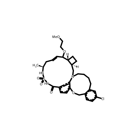 COCCOC1/C=C/C[C@H](C)NS(=O)(=O)NC(=O)c2ccc3c(c2)N(CCCCc2cc(Cl)ccc2CO3)C[C@@H]2CC[C@@H]12